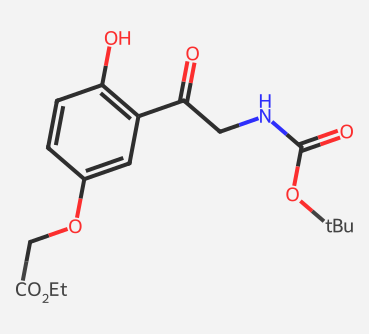 CCOC(=O)COc1ccc(O)c(C(=O)CNC(=O)OC(C)(C)C)c1